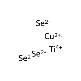 [Cu+2].[Se-2].[Se-2].[Se-2].[Ti+4]